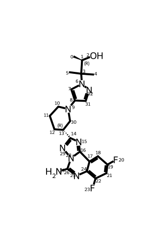 C[C@@H](O)C(C)(C)n1cc(N2CCC[C@@H](c3nc4c5cc(F)cc(F)c5nc(N)n4n3)C2)cn1